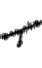 CC(=O)N[C@H]1[C@H]2OC[C@](COCCCCC(=O)NCCCNC(=O)CCOCC(COCCC(=O)NCCCNC(=O)CCCCOC[C@@]34CO[C@@H](O3)[C@H](NC(C)=O)[C@@H](OC(C)=O)[C@H]4OC(C)=O)NC(=O)CCCCCCCCCCC(=O)OCc3ccccc3)(O2)[C@H](OC(C)=O)[C@@H]1OC(C)=O